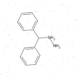 N[SiH2]C(c1ccccc1)c1ccccc1